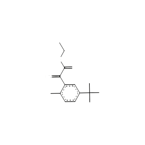 CCOC(=O)C(=N)c1cc(C(C)(C)C)ccc1C